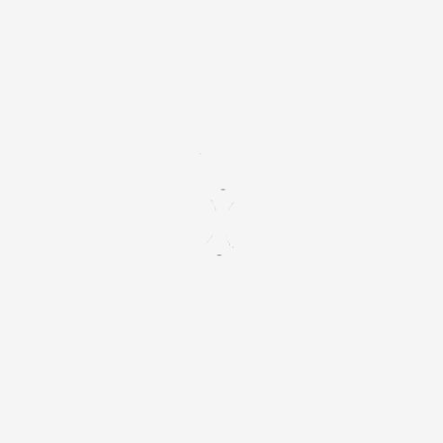 CCc1cc(OCC(=O)O)c(C)c(C)c1Cc1ccc(O)c(C2CCCCC2)n1